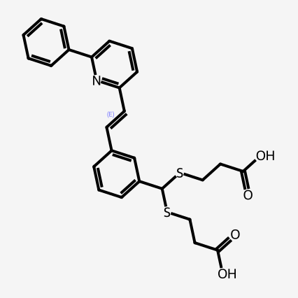 O=C(O)CCSC(SCCC(=O)O)c1cccc(/C=C/c2cccc(-c3ccccc3)n2)c1